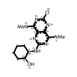 CNc1nc(N[C@@H]2CCCC[C@@H]2O)nc2c(NC)nc(Cl)nc12